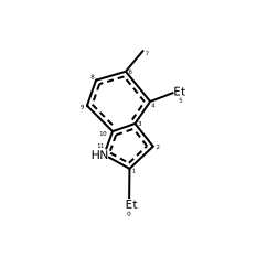 CCc1cc2c(CC)c(C)ccc2[nH]1